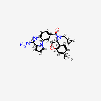 Nc1nc2ccc(C(=O)N(CC3CC3)C3COc4cc(C(F)(F)F)ccc43)cc2n2cccc12